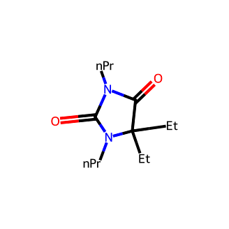 CCCN1C(=O)N(CCC)C(CC)(CC)C1=O